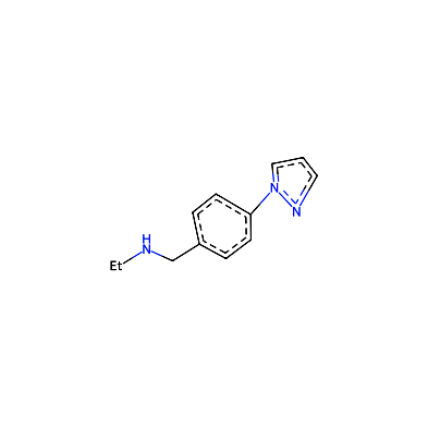 CCNCc1ccc(-n2cccn2)cc1